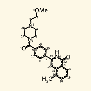 COCCN1CCN(C(=O)c2ccc(-c3cc4c(C)cccc4c(=O)[nH]3)cc2)CC1